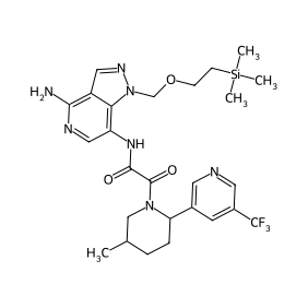 CC1CCC(c2cncc(C(F)(F)F)c2)N(C(=O)C(=O)Nc2cnc(N)c3cnn(COCC[Si](C)(C)C)c23)C1